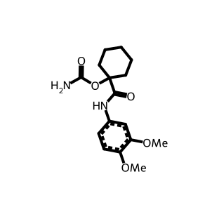 COc1ccc(NC(=O)C2(OC(N)=O)CCCCC2)cc1OC